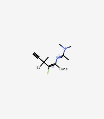 C#CC(C)(CC)/C(F)=C(\N=C(/C)N(C)C)OC